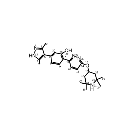 Cc1n[nH]c(C)c1-c1ccc(-c2ccc(OC3CC(C)(C)NC(C)(C)C3)nn2)c(O)c1